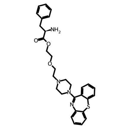 N[C@H](Cc1ccccc1)C(=O)OCCOCCN1CCN(C2=Nc3ccccc3Sc3ccccc32)CC1